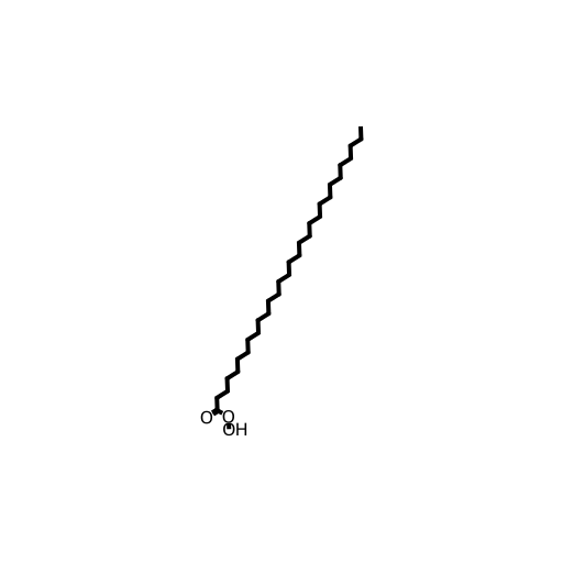 CCCCCCCCCCCCCCCCCCCCCCCCCCCCCC(=O)OO